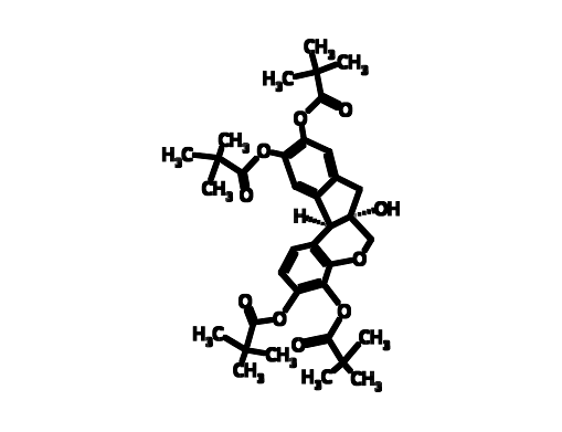 CC(C)(C)C(=O)Oc1cc2c(cc1OC(=O)C(C)(C)C)[C@@H]1c3ccc(OC(=O)C(C)(C)C)c(OC(=O)C(C)(C)C)c3OC[C@]1(O)C2